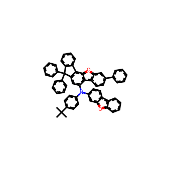 CC(C)(C)c1ccc(N(c2ccc3c(c2)oc2ccccc23)c2cc3c(c4oc5cc(-c6ccccc6)ccc5c24)-c2ccccc2C3(c2ccccc2)c2ccccc2)cc1